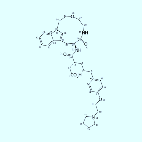 O=C(O)C[C@@H](CCCc1ccc(OCCN2CCCC2)cc1)C(=O)N[C@H]1Cc2cn(c3ccccc23)CCOCCNC1=O